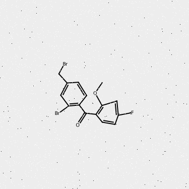 COc1cc(F)ccc1C(=O)c1ccc(CBr)cc1Br